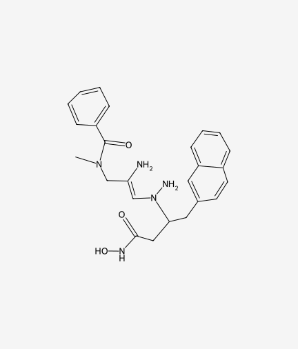 CN(C/C(N)=C/N(N)C(CC(=O)NO)Cc1ccc2ccccc2c1)C(=O)c1ccccc1